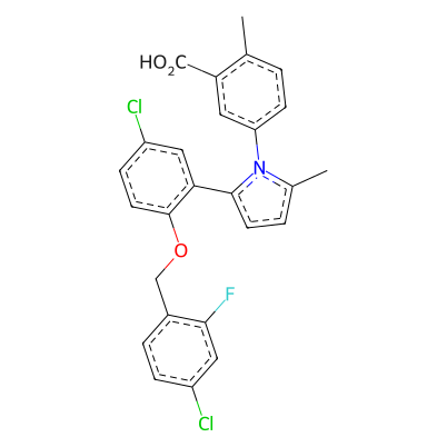 Cc1ccc(-n2c(C)ccc2-c2cc(Cl)ccc2OCc2ccc(Cl)cc2F)cc1C(=O)O